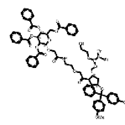 COc1ccc(C(O[C@H]2CC(C(=O)COCCNC(=O)CO[C@H]3OC(COC(=O)c4ccccc4)[C@@H](OC(=O)c4ccccc4)[C@H](OC(=O)c4ccccc4)C3OC(=O)c3ccccc3)[C@H](COP(OCCC#N)N(C(C)C)C(C)C)C2)(c2ccccc2)c2ccc(OC)cc2)cc1